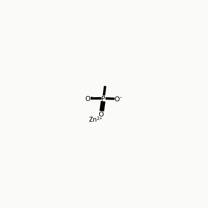 CP(=O)([O-])[O-].[Zn+2]